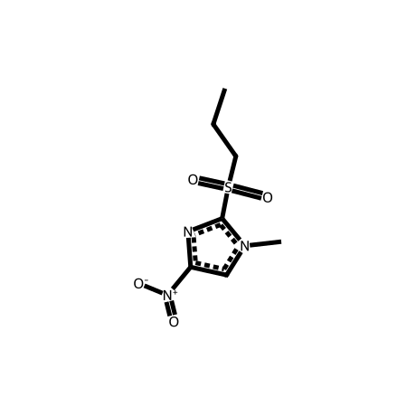 CCCS(=O)(=O)c1nc([N+](=O)[O-])cn1C